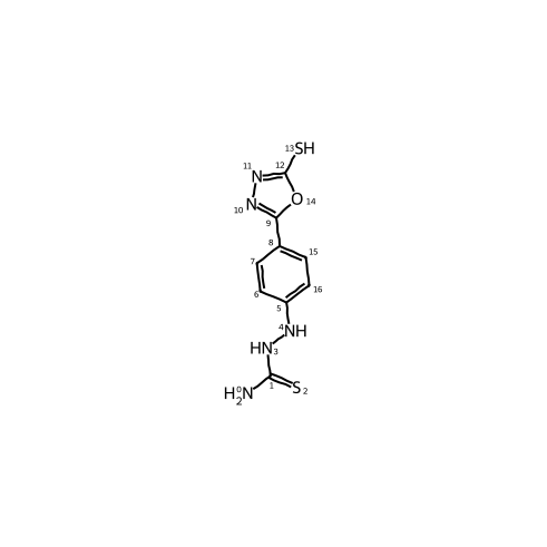 NC(=S)NNc1ccc(-c2nnc(S)o2)cc1